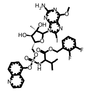 COc1nc(N)nc2c1nc(I)n2C1O[C@H](COP(=O)(NC(C(=O)OCc2cccc(F)c2F)C(C)C)Oc2cccc3ncccc23)[C@@H](O)[C@@]1(C)O